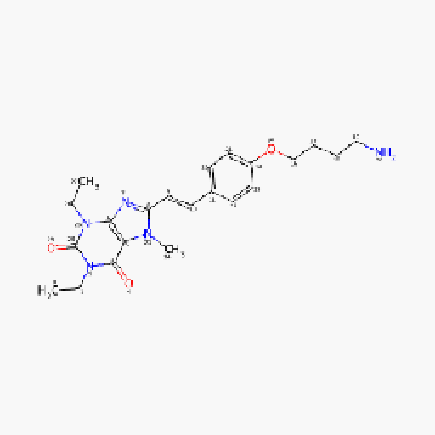 CCn1c(=O)c2c(nc(C=Cc3ccc(OCCCCN)cc3)n2C)n(CC)c1=O